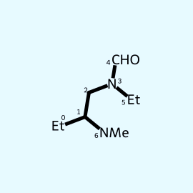 CCC(CN(C=O)CC)NC